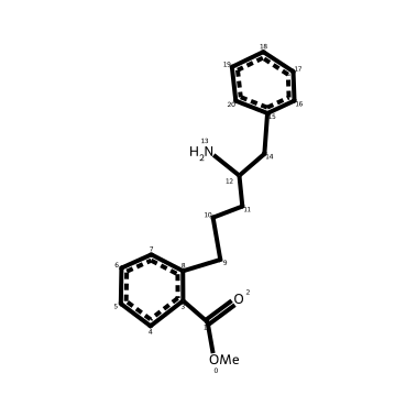 COC(=O)c1ccccc1CCCC(N)Cc1ccccc1